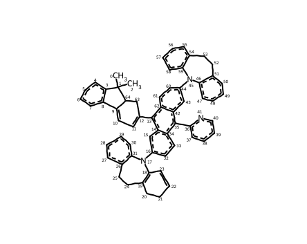 CC1(C)c2ccccc2C2=CC=C(c3c4cc(N5C6=C(CCC=C6)CCc6ccccc65)ccc4c(-c4ccccn4)c4cc(N5c6ccccc6CCc6ccccc65)ccc34)CC21